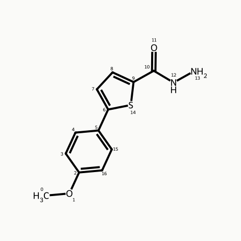 COc1ccc(-c2ccc(C(=O)NN)s2)cc1